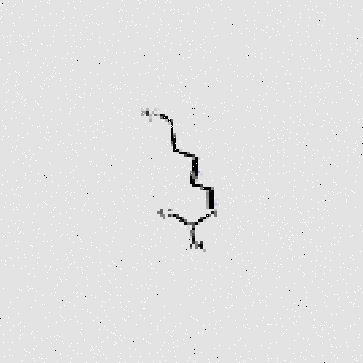 CCC/C=C/C=N\N(C)C